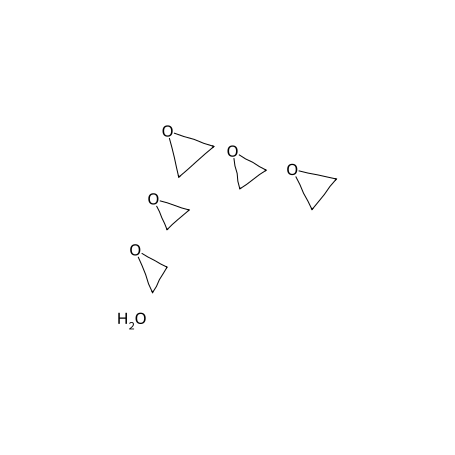 C1CO1.C1CO1.C1CO1.C1CO1.C1CO1.O